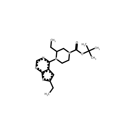 CCc1cc2c(N3CCN(C(=O)OC(C)(C)C)CC3CC)ncnc2s1